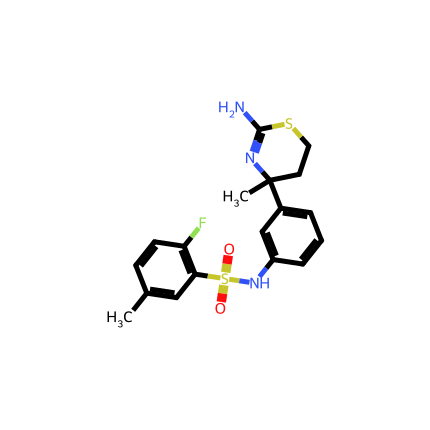 Cc1ccc(F)c(S(=O)(=O)Nc2cccc(C3(C)CCSC(N)=N3)c2)c1